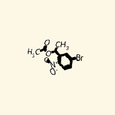 CC(=O)OC(C)c1cc(Br)ccc1[N+](=O)[O-]